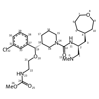 CNC[C@H](C[C@H]1CCCOCC1)NC(=O)N1CCC[C@@H](C(OCCNC(=O)OC)c2cccc(Cl)c2)C1